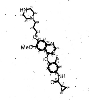 COc1cc2c(Oc3ccc(NC(=O)C4CC4)cc3F)ncnc2cc1OCCCN1CCNCC1